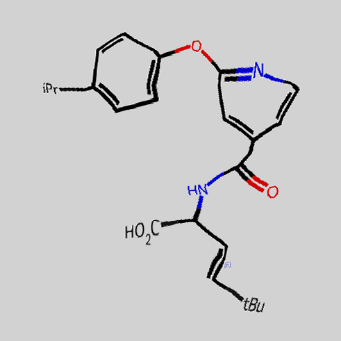 CC(C)c1ccc(Oc2cc(C(=O)NC(/C=C/C(C)(C)C)C(=O)O)ccn2)cc1